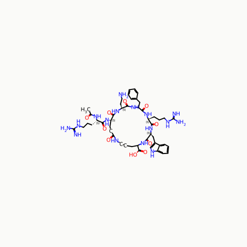 CC(=O)N[C@@H](CCCNC(=N)N)C(=O)N[C@H]1CCC(=O)NCCCC(C(=O)O)NC(=O)[C@H](Cc2c[nH]c3ccccc23)NC(=O)[C@H](CCCNC(=N)N)NC(=O)C(Cc2ccccc2)NC(=O)[C@H](CCN)NC1=O